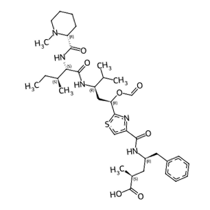 CC[C@H](C)[C@H](NC(=O)[C@H]1CCCCN1C)C(=O)N[C@H](C[C@@H](OC=O)c1nc(C(=O)N[C@@H](Cc2ccccc2)C[C@H](C)C(=O)O)cs1)C(C)C